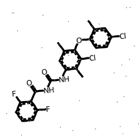 Cc1cc(Cl)ccc1Oc1c(C)cc(NC(=O)NC(=O)c2c(F)cccc2F)c(C)c1Cl